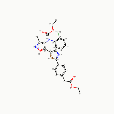 CCOC(=O)Cc1ccc(-c2ncc(-c3onc(C)c3N(C(=O)OCC)c3ccccc3F)s2)cc1